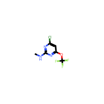 CNc1nc(Cl)cc(OC(F)(F)F)n1